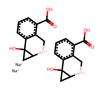 O=C(O)c1cccc2c1C[BH2-]C1CC21O.O=C(O)c1cccc2c1C[BH2-]C1CC21O.[Na+].[Na+]